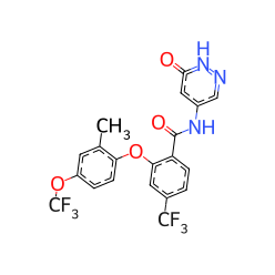 Cc1cc(OC(F)(F)F)ccc1Oc1cc(C(F)(F)F)ccc1C(=O)Nc1cn[nH]c(=O)c1